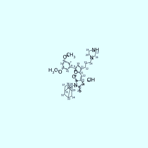 COc1cc(OC)cc(-c2cc(CCCN3CCNCC3)c(/C=C3/SC(=S)N(C4C5CC6CC(C5)CC4C6)C3=O)o2)c1.Cl